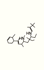 CCC(N/C=C(\C)C(C)(C)C)C(C)(CC)CC(NC)C(C)/C=C(\C)C1CCC=CC1C